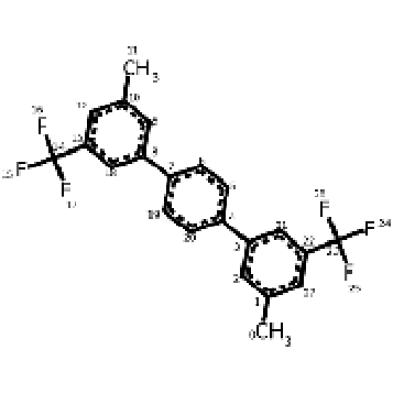 Cc1cc(-c2ccc(-c3cc(C)cc(C(F)(F)F)c3)cc2)cc(C(F)(F)F)c1